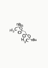 CCCC[C@@H](C)OC(=O)CC(=O)O[C@H](C)CCCC